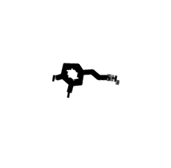 Fc1ccc(CC[SiH3])cc1I